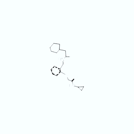 CC(CC1CCCCC1)NCc1ccccc1OCC(=O)NC1CC1